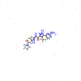 CC1(C)Cc2cnc(N)nc2-c2[nH]nc(C(=O)NC3NC(CC(=O)N4CCCC4)=CS3)c21